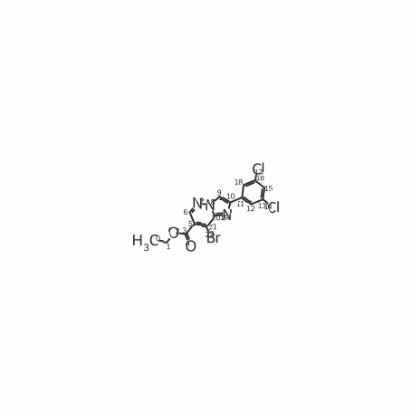 CCOC(=O)c1cnn2cc(-c3cc(Cl)cc(Cl)c3)nc2c1Br